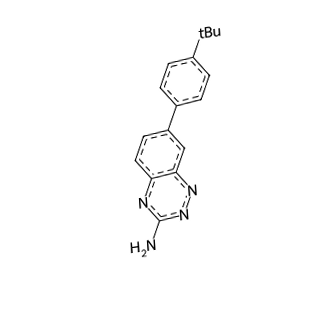 CC(C)(C)c1ccc(-c2ccc3nc(N)nnc3c2)cc1